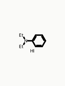 CCN(CC)c1ccccc1.I